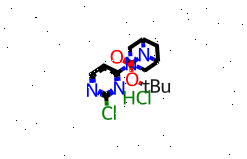 CC(C)(C)OC(=O)N1C2CC1CN(c1ccnc(Cl)n1)C2.Cl